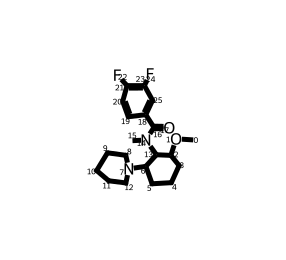 COC1CCCC(N2CCCCC2)C1N(C)C(=O)c1ccc(F)c(F)c1